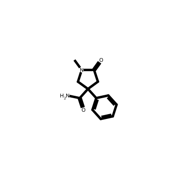 CN1CC(C(N)=O)(c2ccccc2)CC1=O